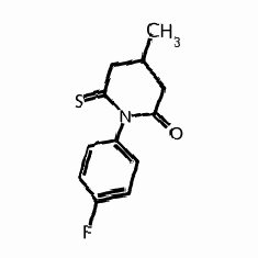 CC1CC(=O)N(c2ccc(F)cc2)C(=S)C1